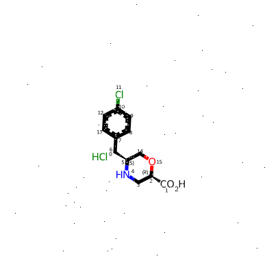 Cl.O=C(O)[C@H]1CN[C@@H](Cc2ccc(Cl)cc2)CO1